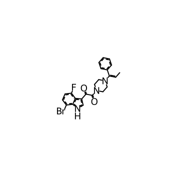 CC=C(c1ccccc1)N1CCN(C(=O)C(=O)c2c[nH]c3c(Br)ccc(F)c23)CC1